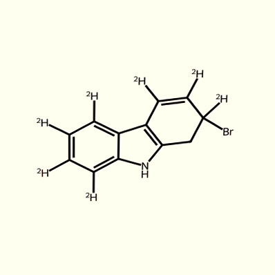 [2H]C1=C([2H])C([2H])(Br)Cc2[nH]c3c([2H])c([2H])c([2H])c([2H])c3c21